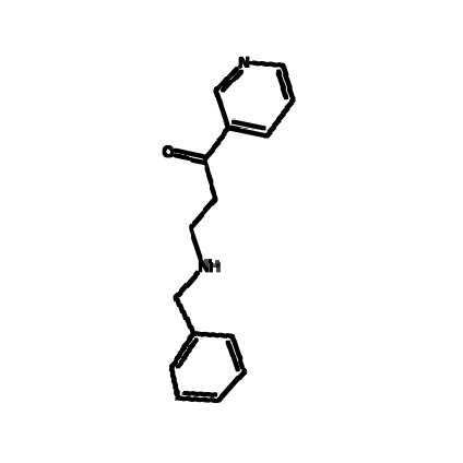 O=C(CCNCc1ccccc1)c1cccnc1